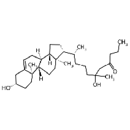 CCCC(=O)CC(C)(O)CCC[C@@H](C)[C@H]1CC[C@H]2[C@@H]3CC=C4C[C@@H](O)CC[C@]4(C)[C@H]3CC[C@]12C